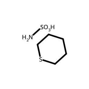 C1CCSCC1.NS(=O)(=O)O